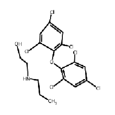 CCCNCCO.Clc1cc(Cl)c(Oc2c(Cl)cc(Cl)cc2Cl)c(Cl)c1